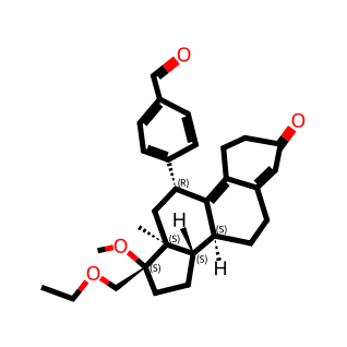 CCOC[C@]1(OC)CC[C@H]2[C@@H]3CCC4=CC(=O)CCC4=C3[C@@H](c3ccc(C=O)cc3)C[C@@]21C